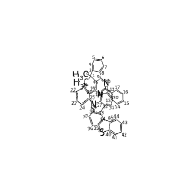 CC1(C)c2ccccc2-c2nc(-c3ccccc3)nc(-c3ccccc3-n3c4ccccc4c4c5c(ccc43)sc3ccccc35)c21